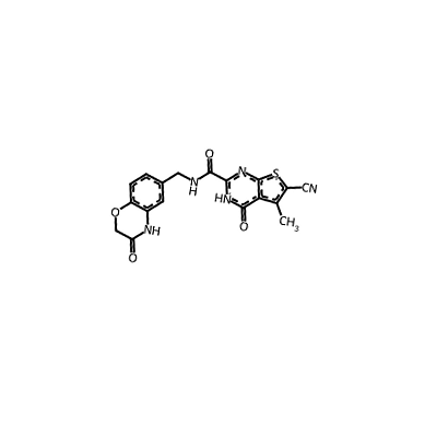 Cc1c(C#N)sc2nc(C(=O)NCc3ccc4c(c3)NC(=O)CO4)[nH]c(=O)c12